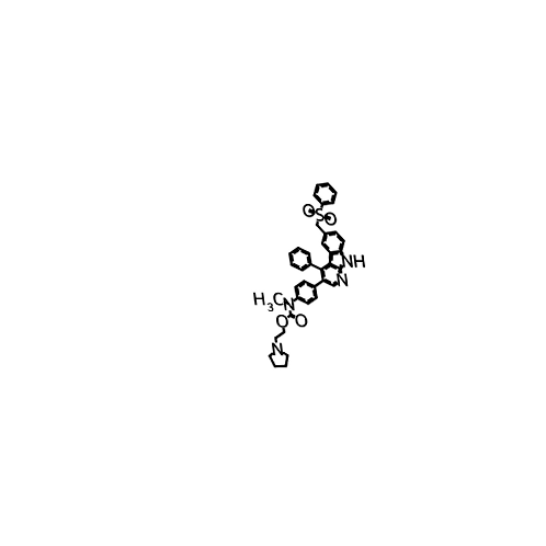 CN(C(=O)OCCN1CCCC1)c1ccc(-c2cnc3[nH]c4ccc(CS(=O)(=O)c5ccccc5)cc4c3c2-c2ccccc2)cc1